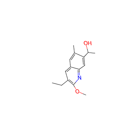 CCc1cc2cc(C)c(C(C)O)cc2nc1OC